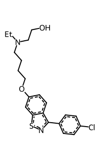 CCN(CCO)CCCCOc1ccc2c(-c3ccc(Cl)cc3)nsc2c1